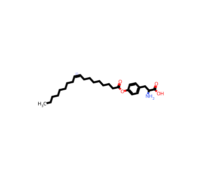 CCCCCCCC/C=C\CCCCCCCC(=O)Oc1ccc(CC(N)C(=O)O)cc1